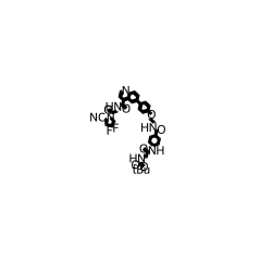 CC(C)(C)OC(=O)NCC(=O)NC1CCC(C(=O)NCCOc2ccc(-c3ccc4nccc(C(=O)NCC(=O)N5CC(F)(F)C[C@H]5C#N)c4c3)cc2)CC1